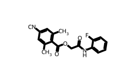 [C-]#[N+]c1cc(C)c(C(=O)OCC(=O)Nc2ccccc2F)c(C)c1